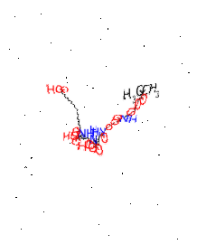 CC(C)C(=O)COCCOCCNC(=O)COCCOCCNC(=O)CC[C@H](NC(=O)CC[C@H](NC(=O)CCCCCCCCCCCCCCCCC(=O)O)C(=O)O)C(=O)O